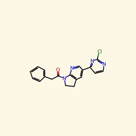 O=C(Cc1ccccc1)N1CCc2cc(-c3ccnc(Cl)n3)cnc21